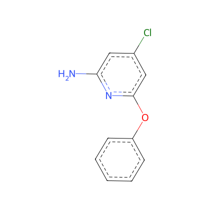 Nc1cc(Cl)cc(Oc2ccccc2)n1